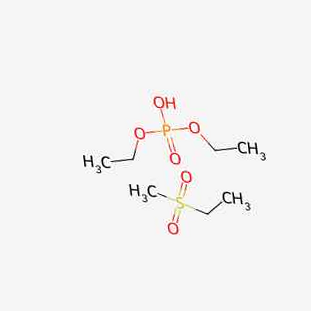 CCOP(=O)(O)OCC.CCS(C)(=O)=O